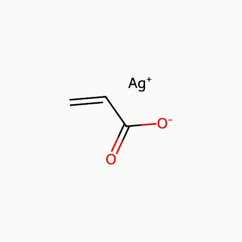 C=CC(=O)[O-].[Ag+]